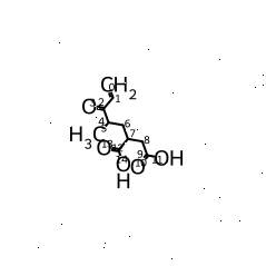 C=CC(=O)C(C)CC(CC(=O)O)C(=O)O